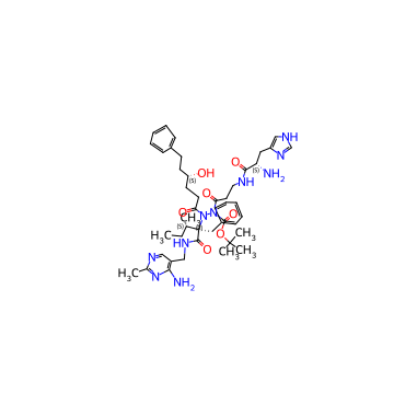 CC[C@H](C)[C@](Cc1ccccc1)(C(=O)NCc1cnc(C)nc1N)N(C(=O)CC[C@@H](O)CCc1ccccc1)N(C(=O)CCNC(=O)[C@@H](N)Cc1c[nH]cn1)C(=O)OC(C)(C)C